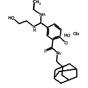 CCNC(NCCO)c1ccc(Cl)c(C(=O)NCC23CC4CC(CC(C4)C2)C3)c1.Cl.Cl